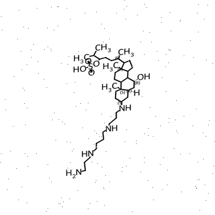 CC(C)C(CC[C@@H](C)C1CCC2C3C(CC[C@@]21C)[C@@]1(C)CC[C@H](NCCCNCCCCNCCCN)C[C@@H]1C[C@H]3O)OS(=O)(=O)O